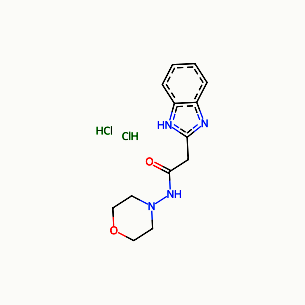 Cl.Cl.O=C(Cc1nc2ccccc2[nH]1)NN1CCOCC1